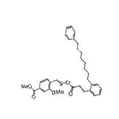 COC(=O)c1ccc(CSOC(=O)CCc2ccccc2CCCCCCCCc2ccccc2)c(OC)c1